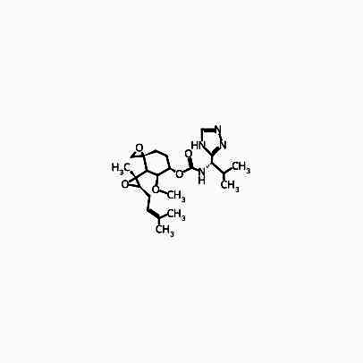 CO[C@H]1C([C@@]2(C)O[C@@H]2CC=C(C)C)[C@]2(CC[C@H]1OC(=O)N[C@H](c1nnc[nH]1)C(C)C)CO2